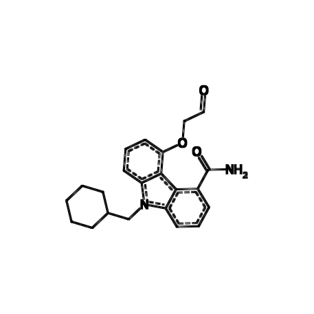 NC(=O)c1cccc2c1c1c(OCC=O)cccc1n2CC1CCCCC1